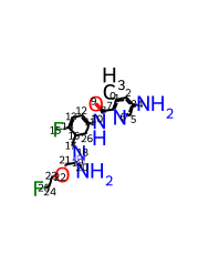 Cc1cc(N)cnc1C(=O)NC1=CC=C(F)C(C/N=C(/N)COCCF)C1